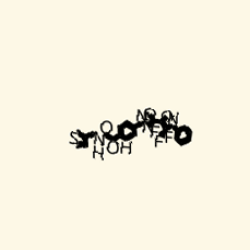 O=C(NCc1ccsc1)C(O)c1ccc(-c2noc(-c3onc(-c4ccccc4)c3C(F)(F)F)n2)cc1